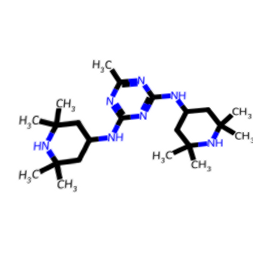 Cc1nc(NC2CC(C)(C)NC(C)(C)C2)nc(NC2CC(C)(C)NC(C)(C)C2)n1